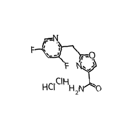 Cl.Cl.NC(=O)c1coc(Cc2ncc(F)cc2F)n1